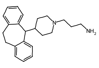 NCCCN1CCC(C2c3ccccc3CCc3ccccc32)CC1